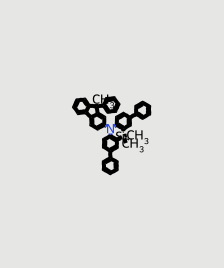 CC1(c2ccccc2)c2ccccc2-c2ccc(N3c4ccc(-c5ccccc5)cc4[Si](C)(C)c4cc(-c5ccccc5)ccc43)cc21